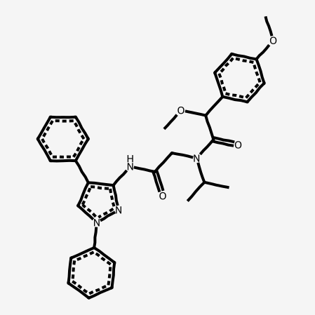 COc1ccc(C(OC)C(=O)N(CC(=O)Nc2nn(-c3ccccc3)cc2-c2ccccc2)C(C)C)cc1